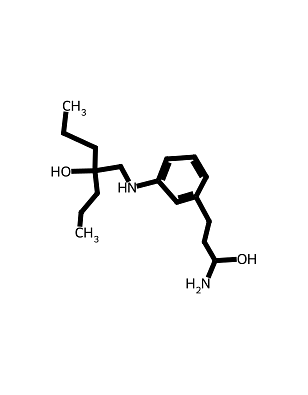 CCCC(O)(CCC)CNc1cccc(CCC(N)O)c1